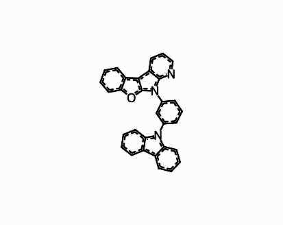 c1cc(-n2c3ccccc3c3ccccc32)cc(-n2c3ncccc3c3c4ccccc4oc32)c1